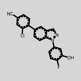 N#Cc1ccc(-c2ccc3c(cnn3-c3ccc(F)c(O)c3)c2)c(Cl)c1